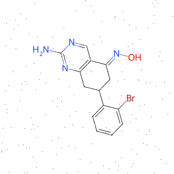 Nc1ncc2c(n1)CC(c1ccccc1Br)CC2=NO